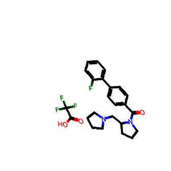 O=C(O)C(F)(F)F.O=C(c1ccc(-c2ccccc2F)cc1)N1CCCC1CN1CCCC1